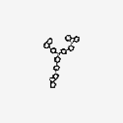 c1cc(-c2ccc(N(c3ccc(-c4ccc(-c5ccc6c(c5)oc5ccccc56)cc4)cc3)c3ccc(-c4cccc5ccccc45)cc3)cc2)cc(-n2c3ccccc3c3ccccc32)c1